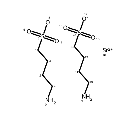 NCCCCS(=O)(=O)[O-].NCCCCS(=O)(=O)[O-].[Sr+2]